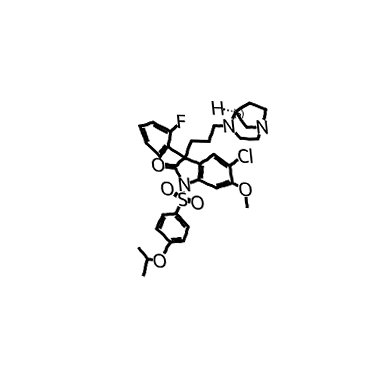 COc1cc2c(cc1Cl)C(CCCN1CCN3CC[C@H]1C3)(c1ccccc1F)C(=O)N2S(=O)(=O)c1ccc(OC(C)C)cc1